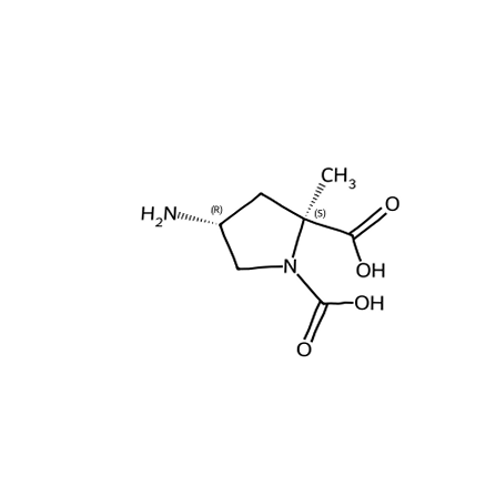 C[C@@]1(C(=O)O)C[C@@H](N)CN1C(=O)O